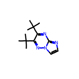 CC(C)(C)c1nc2nccn2nc1C(C)(C)C